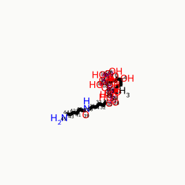 C[C@H]1C[C@@H](O)[C@@H](OP(=O)(O)OP(=O)(O)OP(=O)(O)OP(=O)(O)OP(=O)(O)OP(=O)(O)OCCCCCCNC(=O)CCCCCN)O1